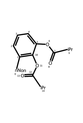 CCCCCCCCCc1cccc(OC(=O)C(C)C)c1OC(=O)C(C)C